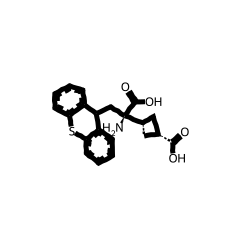 N[C@](CC1c2ccccc2Sc2ccccc21)(C(=O)O)[C@H]1C[C@@H](C(=O)O)C1